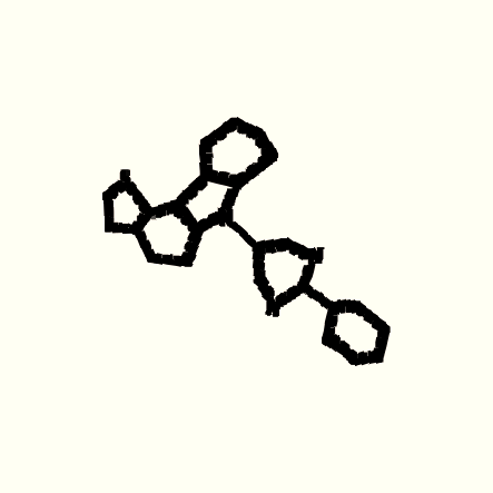 c1ccc(-c2ncc(-n3c4ccccc4c4c5sccc5ccc43)cn2)cc1